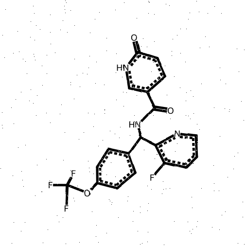 O=C(NC(c1ccc(OC(F)(F)F)cc1)c1ncccc1F)c1ccc(=O)[nH]c1